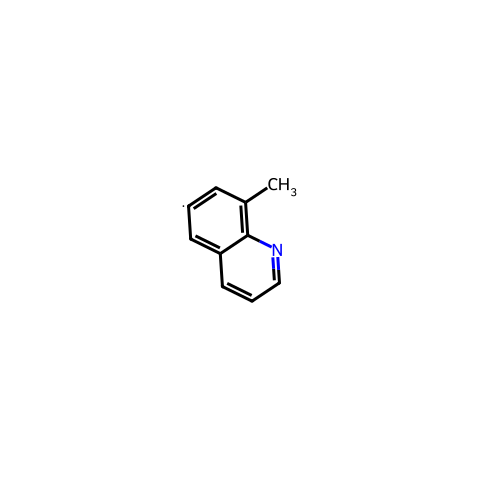 Cc1c[c]cc2cccnc12